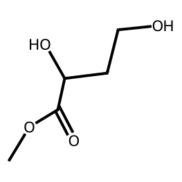 COC(=O)C(O)CCO